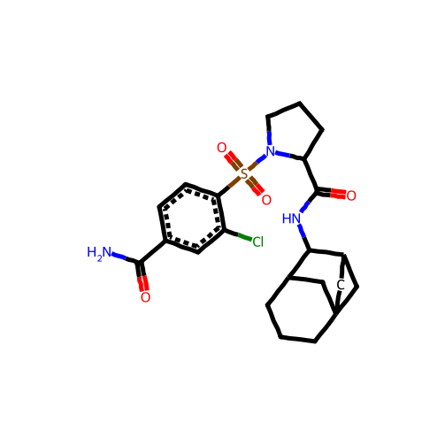 NC(=O)c1ccc(S(=O)(=O)N2CCCC2C(=O)NC2C3CCCC4(C3)CC2C4)c(Cl)c1